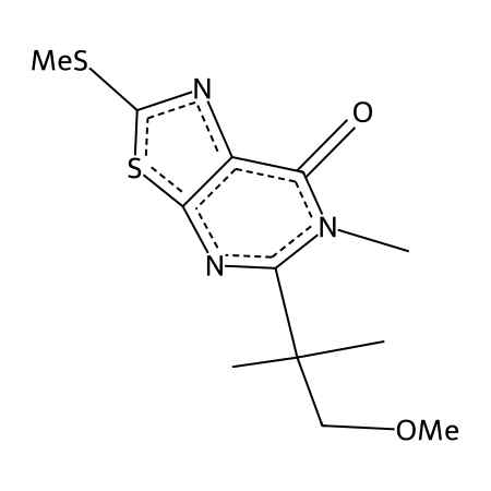 COCC(C)(C)c1nc2sc(SC)nc2c(=O)n1C